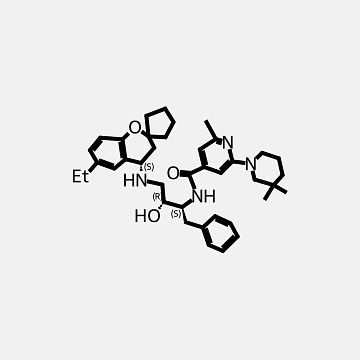 CCc1ccc2c(c1)[C@@H](NC[C@@H](O)[C@H](Cc1ccccc1)NC(=O)c1cc(C)nc(N3CCCC(C)(C)C3)c1)CC1(CCCC1)O2